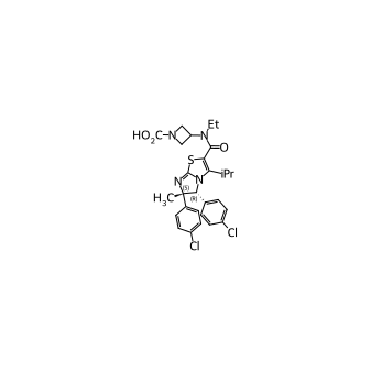 CCN(C(=O)C1=C(C(C)C)N2C(=N[C@@](C)(c3ccc(Cl)cc3)[C@H]2c2ccc(Cl)cc2)S1)C1CN(C(=O)O)C1